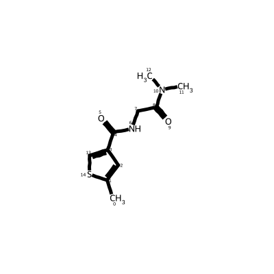 Cc1cc(C(=O)NCC(=O)N(C)C)cs1